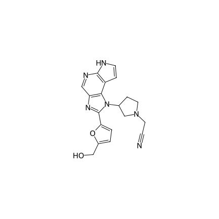 N#CCN1CCC(n2c(-c3ccc(CO)o3)nc3cnc4[nH]ccc4c32)C1